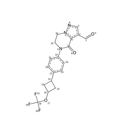 O=Cc1cnn2c1C(=O)N(c1ccc(C3CC(OC(F)(F)F)C3)cc1)CC2